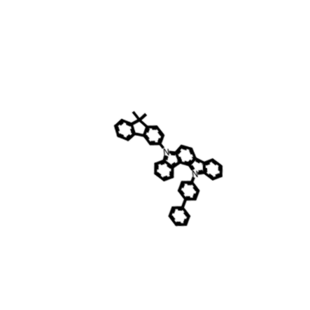 CC1(C)c2ccccc2-c2cc(-n3c4ccccc4c4c3ccc3c5ccccc5n(-c5ccc(-c6ccccc6)cc5)c34)ccc21